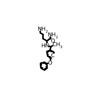 CC(NC(CCCN)C(N)=O)c1ccc(Oc2ccccc2)cc1